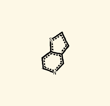 [c]1cc2sccc2cn1